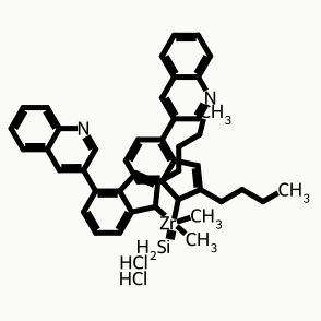 CCCCC1=Cc2c(-c3cnc4ccccc4c3)cccc2[CH]1[Zr]([CH3])([CH3])(=[SiH2])[CH]1C(CCCC)=Cc2c(-c3cnc4ccccc4c3)cccc21.Cl.Cl